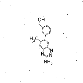 Cc1cc2nc(N)nnc2cc1-c1cccc(CO)c1